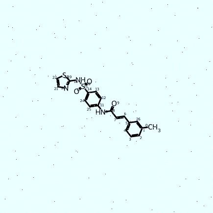 Cc1cccc(/C=C/C(=O)Nc2ccc(S(=O)(=O)Nc3nccs3)cc2)c1